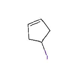 IC1CC=CC1